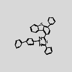 c1ccc(-c2ccc(-c3nc(-c4ccccc4)nc(-c4ccc(-c5ccccc5)c5sc6ccccc6c45)n3)cc2)cc1